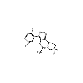 NC(=O)Oc1c(-c2cc(F)ccc2F)ncnc1C1CCC(F)(F)CO1